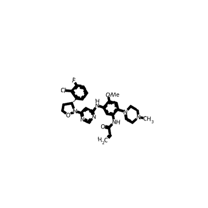 C=CC(=O)Nc1cc(Nc2cc(N3OCC[C@@H]3c3cccc(F)c3Cl)ncn2)c(OC)cc1N1CCN(C)CC1